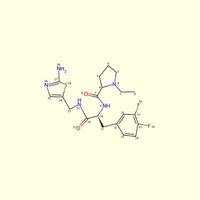 CCN1CCCC1C(=O)N[C@@H](Cc1ccc(F)c(F)c1)C(=O)NCc1cnc(N)s1